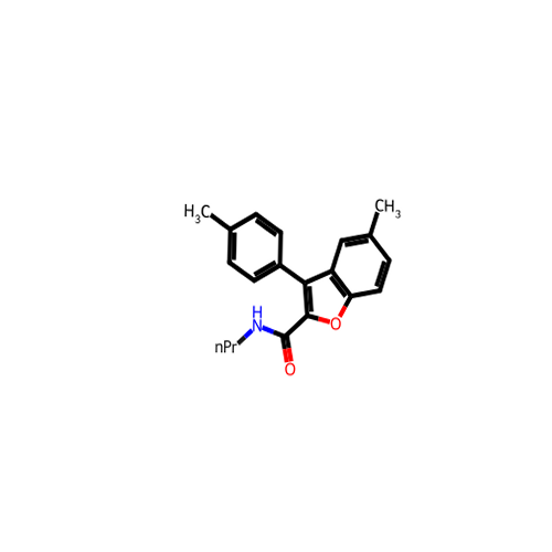 CCCNC(=O)c1oc2ccc(C)cc2c1-c1ccc(C)cc1